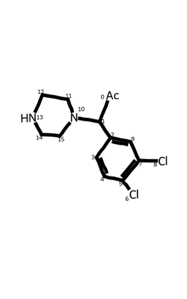 CC(=O)C(c1ccc(Cl)c(Cl)c1)N1CCNCC1